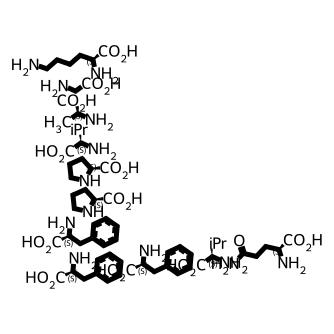 CC(C)[C@H](N)C(=O)O.CC(C)[C@H](N)C(=O)O.C[C@H](N)C(=O)O.NC(=O)CC[C@H](N)C(=O)O.NCC(=O)O.NCCCC[C@H](N)C(=O)O.N[C@@H](Cc1ccccc1)C(=O)O.N[C@@H](Cc1ccccc1)C(=O)O.N[C@@H](Cc1ccccc1)C(=O)O.O=C(O)[C@@H]1CCCN1.O=C(O)[C@@H]1CCCN1